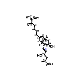 CCCC[C@H](C)C[C@H](O)/C=C/[C@@H]1[C@H]2CC(CCCCC(=O)N(C(C)C)C(C)C)=C[C@H]2C[C@H]1O